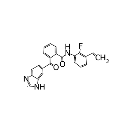 C=Cc1cccc(NC(=O)c2ccccc2C(=O)c2ccc3n[c][nH]c3c2)c1F